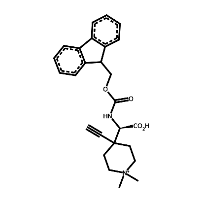 C#CC1([C@@H](NC(=O)OCC2c3ccccc3-c3ccccc32)C(=O)O)CC[N+](C)(C)CC1